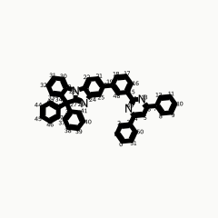 c1ccc(-c2cc(-c3ccccc3)nc(-c3cccc(-c4ccc5c(c4)nc4n5-c5ccccc5C4(c4ccccc4)c4ccccc4)c3)n2)cc1